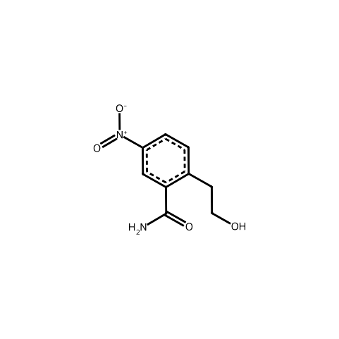 NC(=O)c1cc([N+](=O)[O-])ccc1CCO